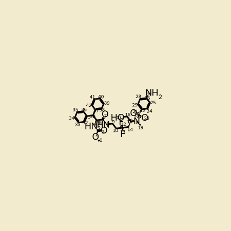 COC(=O)N[C@H](C(=O)NCCC(F)(F)C[C@@H](CO)N(C)S(=O)(=O)c1ccc(N)cc1)C(c1ccccc1)c1ccccc1